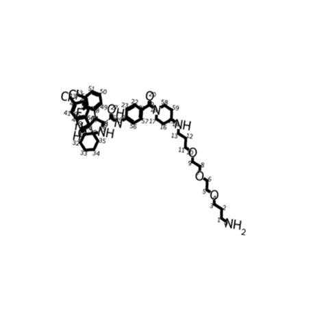 NCCCOCCOCCOCCCNC1CCN(C(=O)c2ccc(NC(=O)[C@@H]3NC4(CCCCC4)[C@@]4(C(=O)Nc5cc(Cl)ccc54)[C@H]3c3cccc(Cl)c3F)cc2)CC1